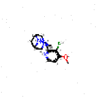 COc1ccnc(CN2C3CC2CN(C)C3)c1F